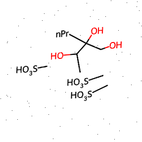 CCCC(O)(CO)C(C)O.CS(=O)(=O)O.CS(=O)(=O)O.CS(=O)(=O)O